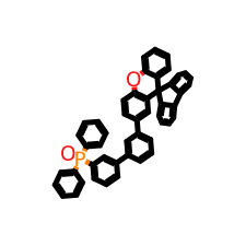 O=P(c1ccccc1)(c1ccccc1)c1cccc(-c2cccc(-c3ccc4c(c3)C3(c5ccccc5O4)c4ccccc4-c4ccccc43)c2)c1